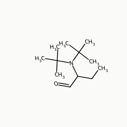 CCC(C=O)N(C(C)(C)C)C(C)(C)C